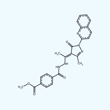 COC(=O)c1ccc(C(=O)NNC(C)=C2C(=O)N(c3ccc4ccccc4n3)N=C2C)cc1